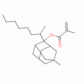 C=C(C)C(=O)OC1(C(C)CCCCCC)C2CC3CC1CC(C)(C3)C2